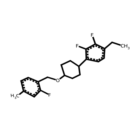 CCc1ccc(C2CCC(OCc3ccc(C)cc3F)CC2)c(F)c1F